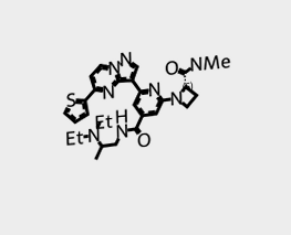 CCN(CC)C(C)CNC(=O)c1cc(-c2cnn3ccc(-c4cccs4)nc23)nc(N2CC[C@H]2C(=O)NC)c1